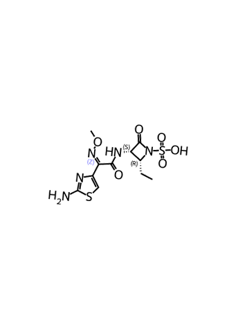 CC[C@@H]1[C@H](NC(=O)/C(=N\OC)c2csc(N)n2)C(=O)N1S(=O)(=O)O